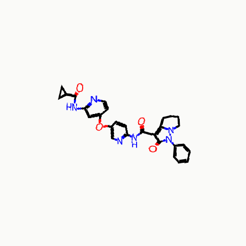 O=C(Nc1ccc(Oc2ccnc(NC(=O)C3CC3)c2)cn1)c1c2n(n(-c3ccccc3)c1=O)CCCC2